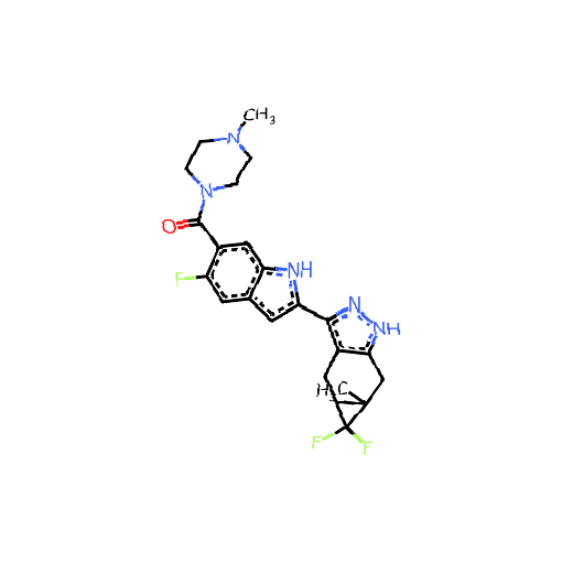 CN1CCN(C(=O)c2cc3[nH]c(-c4n[nH]c5c4CC4C(F)(F)C4(C)C5)cc3cc2F)CC1